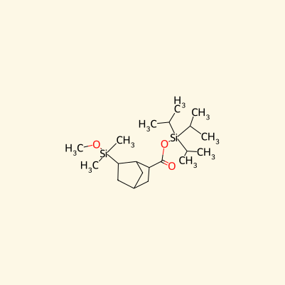 CO[Si](C)(C)C1CC2CC(C(=O)O[Si](C(C)C)(C(C)C)C(C)C)C1C2